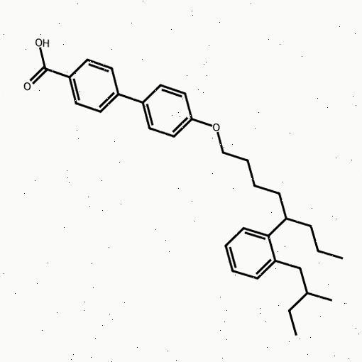 CCCC(CCCCOc1ccc(-c2ccc(C(=O)O)cc2)cc1)c1ccccc1CC(C)CC